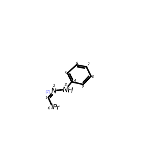 CC(C)/C=N\Nc1ccccc1